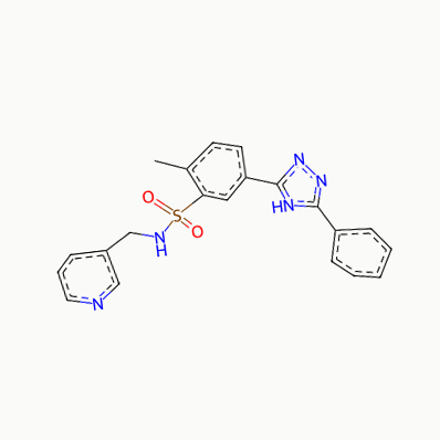 Cc1ccc(-c2nnc(-c3ccccc3)[nH]2)cc1S(=O)(=O)NCc1cccnc1